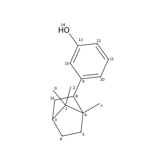 CC1(C)C2CCC1(C)C(c1cccc(O)c1)C2